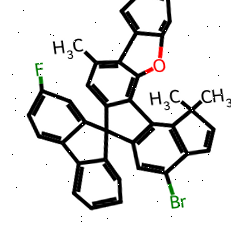 Cc1cc2c(c3oc4ccccc4c13)-c1c(cc(Br)c3c1C(C)(C)C=C3)C21c2ccccc2-c2ccc(F)cc21